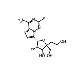 Nc1nc(F)nn2c([C@@H]3O[C@](CO)(CCO)[C@@H](O)[C@H]3F)cnc12